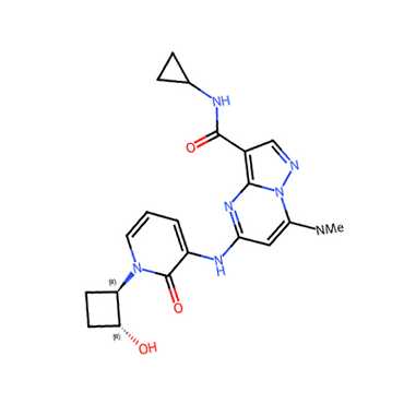 CNc1cc(Nc2cccn([C@@H]3CC[C@H]3O)c2=O)nc2c(C(=O)NC3CC3)cnn12